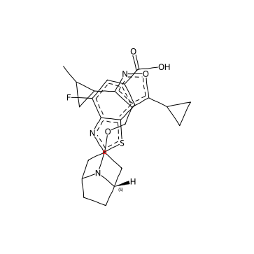 CC1CC1c1noc(C2CC2)c1COC1CC2CC[C@@H](C1)N2c1nc2c(F)cc(C(=O)O)cc2s1